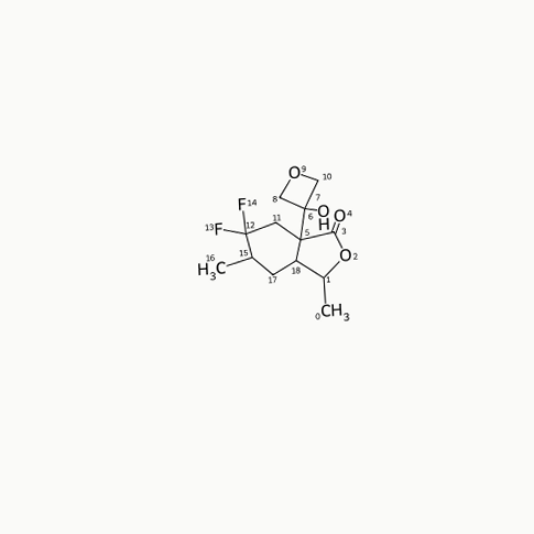 CC1OC(=O)C2(C3(O)COC3)CC(F)(F)C(C)CC12